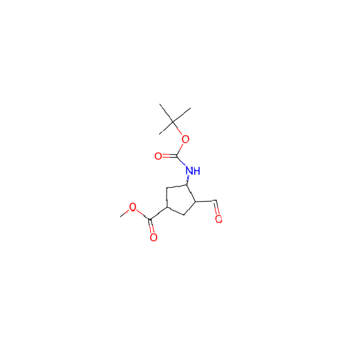 COC(=O)C1CC(C=O)C(NC(=O)OC(C)(C)C)C1